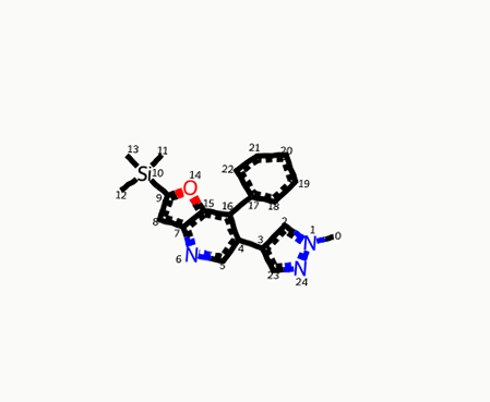 Cn1cc(-c2cnc3cc([Si](C)(C)C)oc3c2-c2ccccc2)cn1